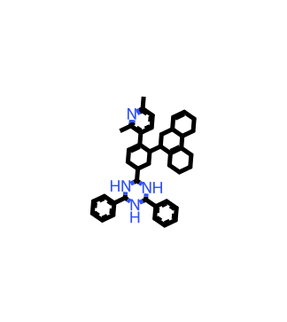 Cc1ccc(C2=CCC(C3NC(c4ccccc4)NC(c4ccccc4)N3)CC2C2CC3C=CCCC3C3=C2CCCC3)c(C)n1